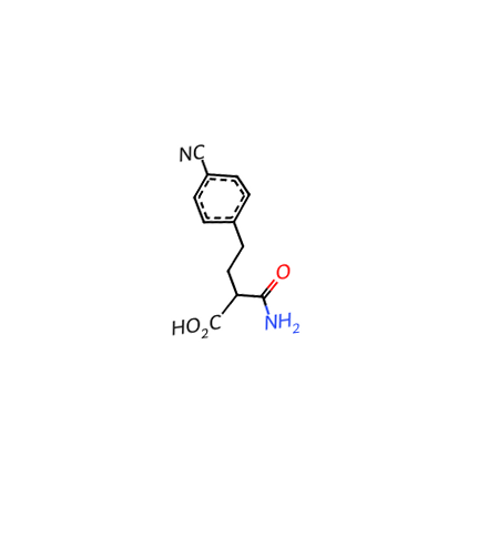 N#Cc1ccc(CCC(C(N)=O)C(=O)O)cc1